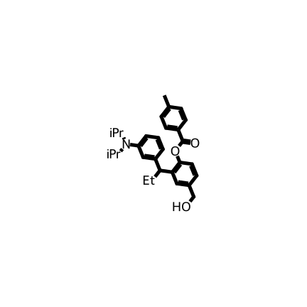 CCC(c1cccc(N(C(C)C)C(C)C)c1)c1cc(CO)ccc1OC(=O)c1ccc(C)cc1